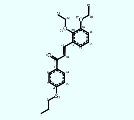 CCCSc1ccc(C(=O)C=Cc2cccc(OCC)c2OCC)cc1